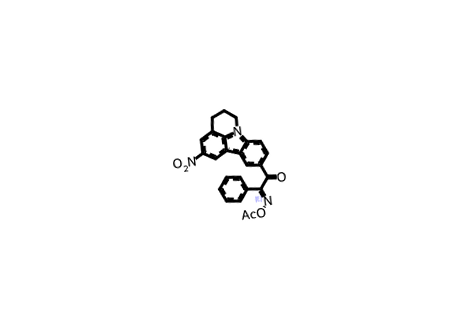 CC(=O)O/N=C(/C(=O)c1ccc2c(c1)c1cc([N+](=O)[O-])cc3c1n2CCC3)c1ccccc1